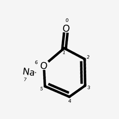 O=c1cccco1.[Na]